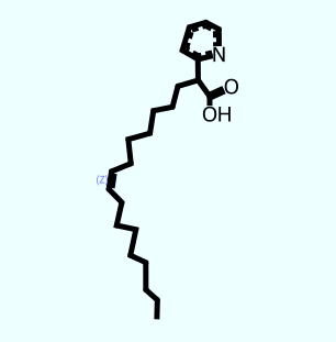 CCCCCCCC/C=C\CCCCCCC(C(=O)O)c1ccccn1